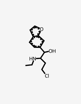 CCNC(CCCl)C(O)c1ccc2ccoc2c1